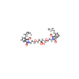 C=CCC12C=CC(C1)C1C(=O)N(CCCOCCC(O)CCOCCCN3C(=O)C4C5C=CC(CC=C)(C5)C4C3=O)C(=O)C12